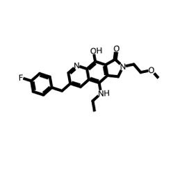 CCNc1c2c(c(O)c3ncc(Cc4ccc(F)cc4)cc13)C(=O)N(CCOC)C2